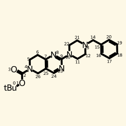 CC(C)(C)OC(=O)N1CCc2nc(N3CCN(Cc4ccccc4)CC3)ncc2C1